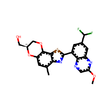 COc1cnc2c(-c3nc4c(C)cc5c(c4s3)OC[C@H](CO)O5)cc(C(F)F)cc2n1